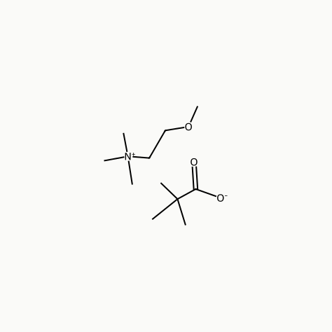 CC(C)(C)C(=O)[O-].COCC[N+](C)(C)C